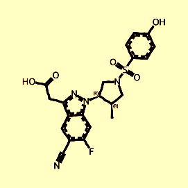 C[C@@H]1CN(S(=O)(=O)c2ccc(O)cc2)C[C@@H]1n1nc(CC(=O)O)c2cc(C#N)c(F)cc21